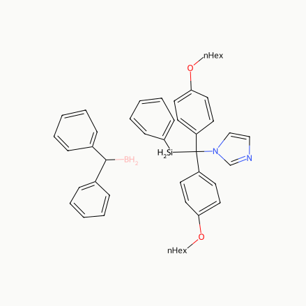 BC(c1ccccc1)c1ccccc1.CCCCCCOc1ccc(C([SiH2]c2ccccc2)(c2ccc(OCCCCCC)cc2)n2ccnc2)cc1